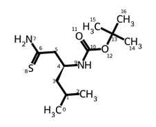 CC(C)C[C@@H](CC(N)=S)NC(=O)OC(C)(C)C